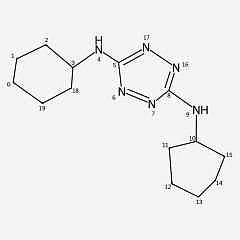 C1CCC(Nc2nnc(NC3CCCCC3)nn2)CC1